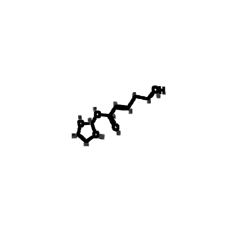 O=C(/C=C/CCO)OC1OCCO1